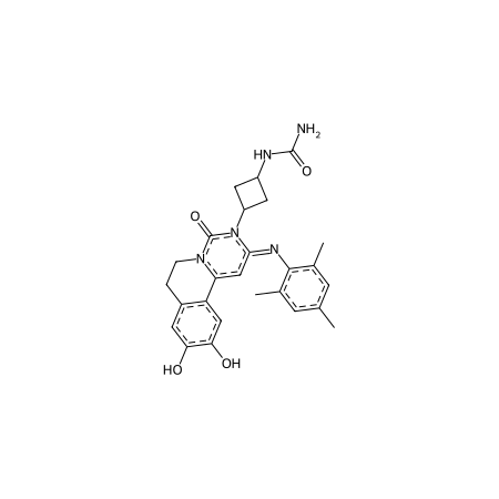 Cc1cc(C)c(/N=c2\cc3n(c(=O)n2C2CC(NC(N)=O)C2)CCc2cc(O)c(O)cc2-3)c(C)c1